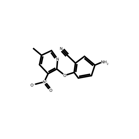 Cc1cnc(Oc2ccc(N)cc2C#N)c([N+](=O)[O-])c1